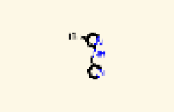 CC(C)(C)c1ccnc(NCc2cccnc2)c1